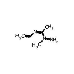 C=C/N=C(/C)N(C)N